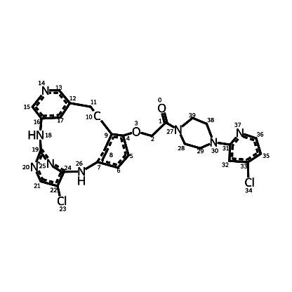 O=C(COc1ccc2cc1CCc1cncc(c1)Nc1ncc(Cl)c(n1)N2)N1CCN(c2cc(Cl)ccn2)CC1